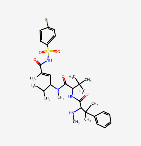 CNC(C(=O)NC(C(=O)N(C)C(C=C(C)C(=O)NS(=O)(=O)c1ccc(Br)cc1)C(C)C)C(C)(C)C)C(C)(C)c1ccccc1